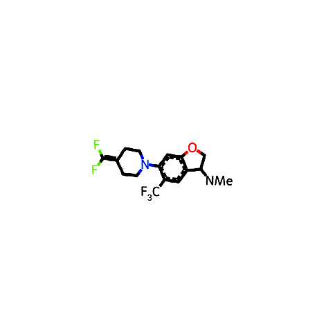 CNC1COc2cc(N3CCC(=C(F)F)CC3)c(C(F)(F)F)cc21